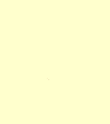 [c]1cccc(-c2cccc3ccncc23)c1